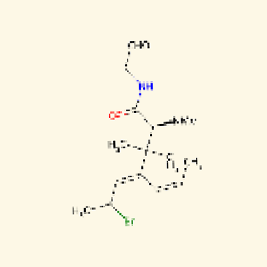 C/C=C\C(=C/C(C)Br)C(C)(C)[C@H](NC)C(=O)NCC=O